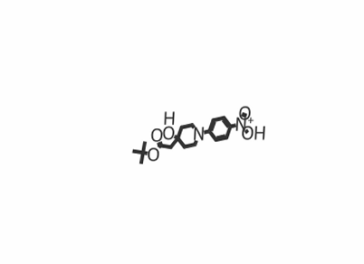 CC(C)(C)OC(=O)CC1(O)CCN(c2ccc([N+](=O)O)cc2)CC1